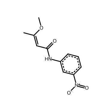 COC(C)=CC(=O)Nc1cccc([N+](=O)[O-])c1